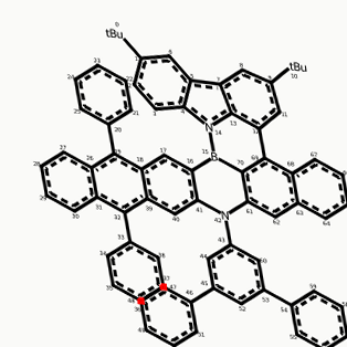 CC(C)(C)c1ccc2c(c1)c1cc(C(C)(C)C)cc3c1n2B1c2cc4c(-c5ccccc5)c5ccccc5c(-c5ccccc5)c4cc2N(c2cc(-c4ccccc4)cc(-c4ccccc4)c2)c2cc4ccccc4c-3c21